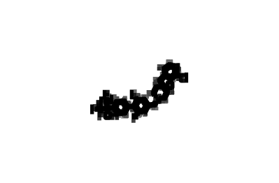 OC(c1ccc(-c2c(F)cc(CN3CCC4(CC3)Cc3ccnc(Cl)c3O4)cc2F)cc1)(C(F)(F)F)C(F)(F)F